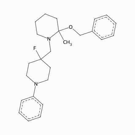 CC1(OCc2ccccc2)CCCCN1CC1(F)CCN(c2ccccc2)CC1